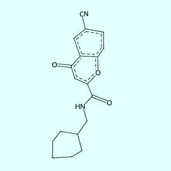 N#Cc1ccc2oc(C(=O)NCC3CCCCC3)cc(=O)c2c1